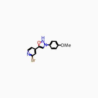 COc1ccc(N2C=C(c3ccnc(Br)c3)ON2)cc1